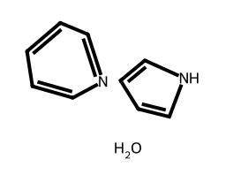 O.c1cc[nH]c1.c1ccncc1